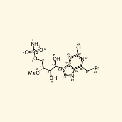 CO[C@H](COS(N)(=O)=O)[C@@H](O)[C@@H](O)n1cnc2c(CC(C)C)nc(Cl)nc21